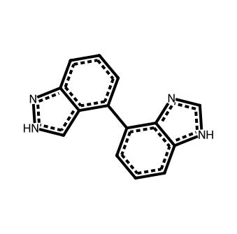 c1cc(-c2cccc3[nH]cnc23)c2c[nH]nc2c1